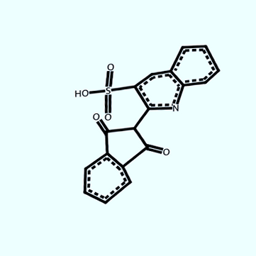 O=C1c2ccccc2C(=O)C1c1nc2ccccc2cc1S(=O)(=O)O